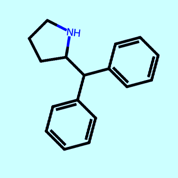 c1ccc(C(c2ccccc2)C2CCCN2)cc1